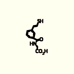 O=C(O)CNC(=O)c1cccc(/C=C/S)c1